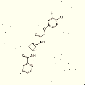 O=C(COc1ccc(Cl)c(Cl)c1)NC1CC2(NC(=O)c3cnccn3)CC1C2